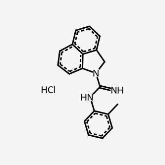 Cc1ccccc1NC(=N)N1Cc2cccc3cccc1c23.Cl